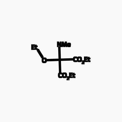 CCOC(=O)C(NC)(OCC)C(=O)OCC